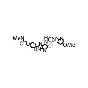 CNC(=O)COc1ccc(-c2nc3c(NC4CCN(Cc5ccc(OC)cn5)CC4)c(Cl)cnc3[nH]2)cc1